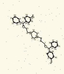 Fc1ccc(C(OCCCN2CCN(CCOC(c3ccccc3)c3ccc(F)cc3)CC2)c2ccccc2)cc1